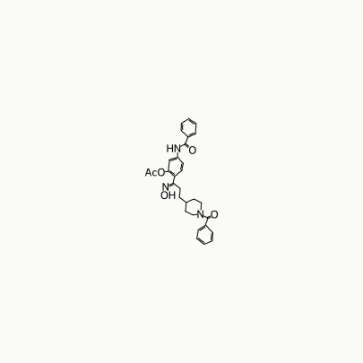 CC(=O)Oc1cc(NC(=O)c2ccccc2)ccc1C(CCC1CCN(C(=O)c2ccccc2)CC1)=NO